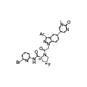 CC(=O)c1nn(CC(=O)N2C[C@H](F)C[C@H]2C(=O)Nc2cccc(Br)n2)c2ccc(-c3cnc(=O)n(C)c3)cc12